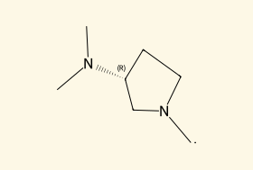 [CH2]N1CC[C@@H](N(C)C)C1